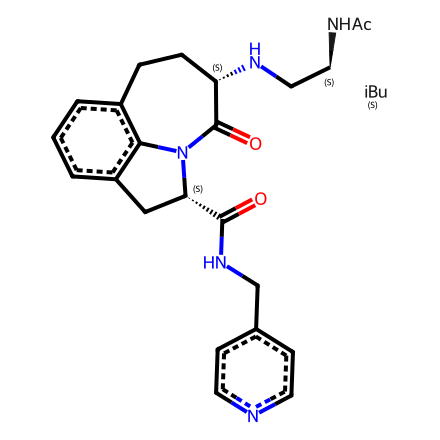 CC[C@H](C)[C@@H](CN[C@H]1CCc2cccc3c2N(C1=O)[C@H](C(=O)NCc1ccncc1)C3)NC(C)=O